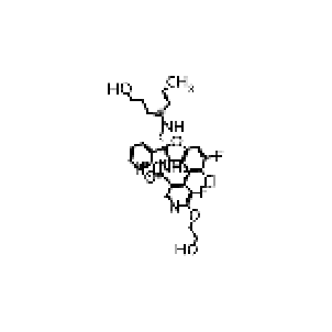 CCC[C@H](CCCO)NC[C@]1(c2ccccc2)Oc2cc(F)c(Cl)c(-c3c(C(N)=O)cnc(OCCO)c3F)c2[C@@H]1C